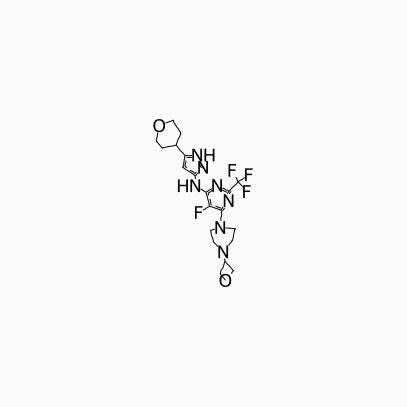 Fc1c(Nc2cc(C3CCOCC3)[nH]n2)nc(C(F)(F)F)nc1N1CCN(C2COC2)CC1